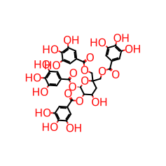 O=C(OCC1(COC(=O)c2cc(O)c(O)c(O)c2)CC(O)C(OC(=O)c2cc(O)c(O)c(O)c2)[C@H](OC(=O)c2cc(O)c(O)c(O)c2)O1)c1cc(O)c(O)c(O)c1